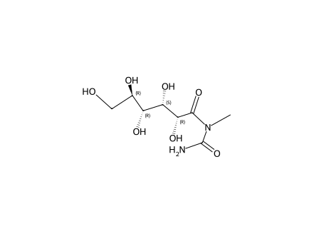 CN(C(N)=O)C(=O)[C@H](O)[C@@H](O)[C@H](O)[C@H](O)CO